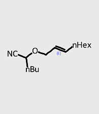 CCCCCC/C=C/COC(C#N)CCCC